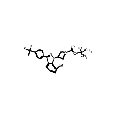 CC(C)(C)OC(=O)N1CC(n2nc(-c3ccc(C(F)(F)F)cc3)c3cccc(Br)c32)C1